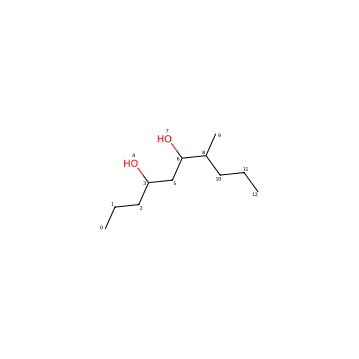 CCCC(O)CC(O)C(C)CCC